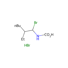 Br.CCCCC(CC)C(Br)NC(=O)O